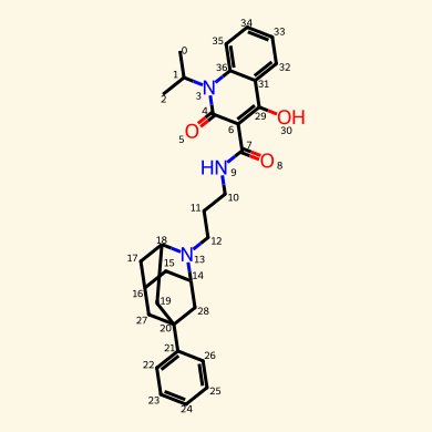 CC(C)n1c(=O)c(C(=O)NCCCN2C3CC4CC2CC(c2ccccc2)(C4)C3)c(O)c2ccccc21